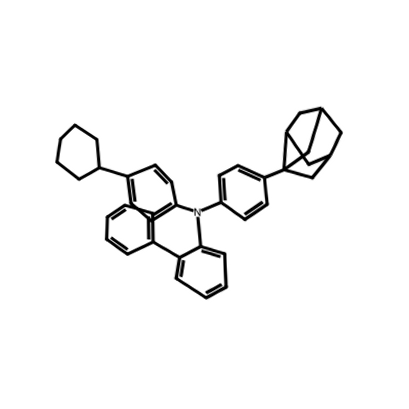 c1ccc(-c2ccccc2N(c2ccc(C3CCCCC3)cc2)c2ccc(C34CC5CC(CC3C5)C4)cc2)cc1